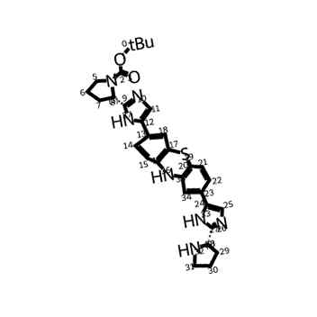 CC(C)(C)OC(=O)N1CCC[C@H]1c1ncc(-c2ccc3c(c2)Sc2ccc(-c4cnc([C@@H]5CCCN5)[nH]4)cc2N3)[nH]1